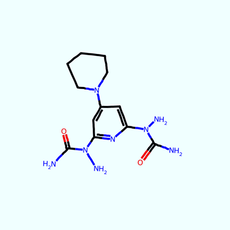 NC(=O)N(N)c1cc(N2CCCCC2)cc(N(N)C(N)=O)n1